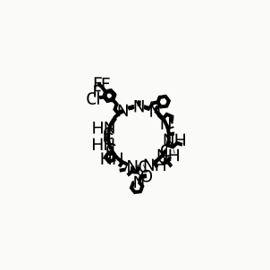 CC[C@H](C)[C@H]1CN[C@@H](CC(C)C)C(C)NCC2[C@@H](C(=O)N3CCCCC3)C(C)N2[C@@H](CC)C(C)NC2(CCCC2)CNCCNC=CC(CCc2ccc(C(F)(F)F)c(Cl)c2)=NC=CN(C)C=C(CC2CCCCC2)N(C)C=C2CCCN2[C@@H](C)C(C)N1